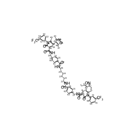 Cc1noc(C)c1-c1cc(C(=O)NCc2ccc(C(=O)NCCCCCCNC(=O)c3ccc(CNC(=O)c4cc(-c5c(C)noc5C)c(C)n(-c5cccc(C(F)(F)F)c5)c4=O)cc3)cc2)c(=O)n(-c2cccc(C(F)(F)F)c2)c1C